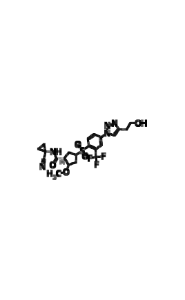 COC1CC(S(=O)(=O)c2ccc(-n3cc(CCO)nn3)cc2C(F)(F)F)C[C@H]1C(=O)NC1(C#N)CC1